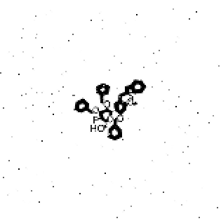 COc1cc(OCc2ccccc2)c([C@@H]2O[C@H](CO)[C@@H](F)[C@H](OCc3ccccc3)[C@H]2OCc2ccccc2)cc1Cc1cc2ccccc2s1